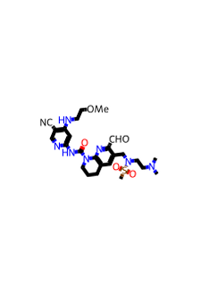 COCCNc1cc(NC(=O)N2CCCc3cc(CN(CCN(C)C)S(C)(=O)=O)c(C=O)nc32)ncc1C#N